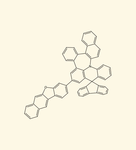 c1ccc2c(c1)-c1cc(-c3ccc4c(c3)oc3cc5ccccc5cc34)cc3c1N(c1ccccc1C31c3ccccc3-c3ccccc31)c1ccc3ccccc3c1-2